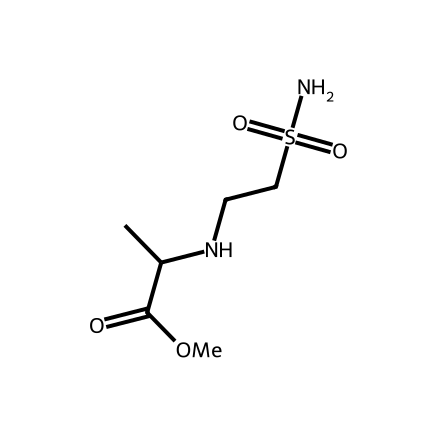 COC(=O)C(C)NCCS(N)(=O)=O